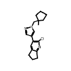 CC1(Cn2cc(-c3cc4c(nc3Cl)CCC4)cn2)CCCC1